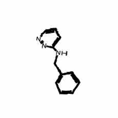 c1ccc(CNc2cccnn2)cc1